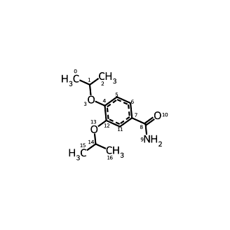 CC(C)Oc1ccc(C(N)=O)cc1OC(C)C